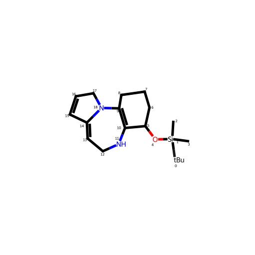 CC(C)(C)[Si](C)(C)OC1CCCC2=C1NCC=C1C=CCN12